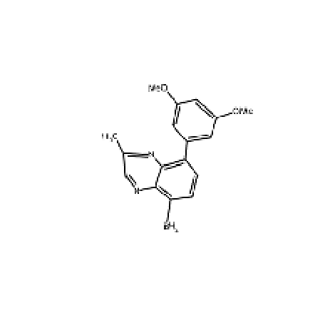 Bc1ccc(-c2cc(OC)cc(OC)c2)c2nc(C)cnc12